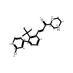 CC(C)(C)c1c(C=CC(=O)C2CNCCO2)cccc1-c1ccnc(Cl)c1